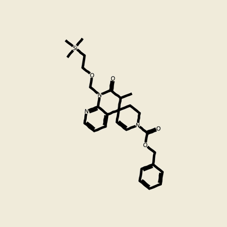 CC1C(=O)N(COCC[Si](C)(C)C)c2ncccc2C12C=CN(C(=O)OCc1ccccc1)CC2